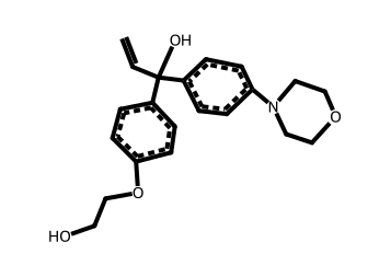 C=CC(O)(c1ccc(OCCO)cc1)c1ccc(N2CCOCC2)cc1